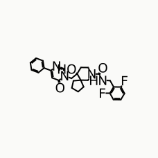 O=C(NCc1c(F)cccc1F)N1CCC(O)(Cn2cnc(-c3ccccc3)cc2=O)C2(CCCC2)C1